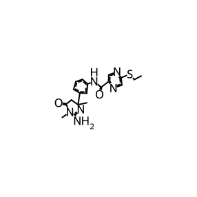 CCSc1cnc(C(=O)Nc2cccc(C3(C)CC(=O)N(C)C(N)=N3)c2)cn1